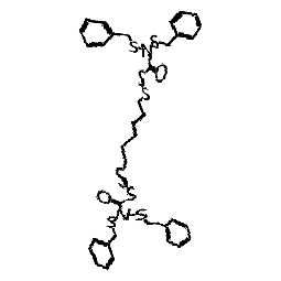 O=C(SSCCCCCCSSC(=O)N(SCc1ccccc1)SCc1ccccc1)N(SCc1ccccc1)SCc1ccccc1